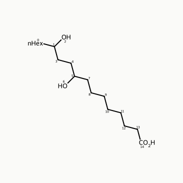 CCCCCCC(O)CCC(O)CCCCCCCC(=O)O